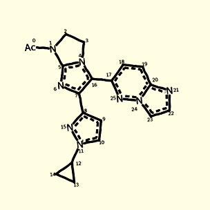 CC(=O)N1CCn2c1nc(-c1ccn(C3CC3)n1)c2-c1ccc2nccn2n1